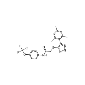 Cc1cc(C)c(-n2nnnc2SCC(=O)Nc2ccc(OC(F)(F)Cl)cc2)c(C)c1